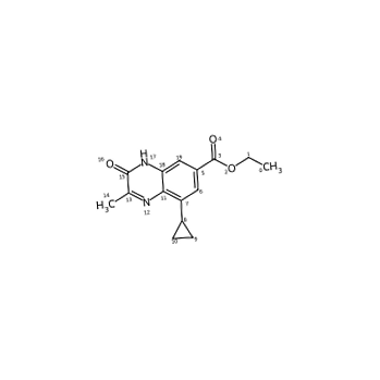 CCOC(=O)c1cc(C2CC2)c2nc(C)c(=O)[nH]c2c1